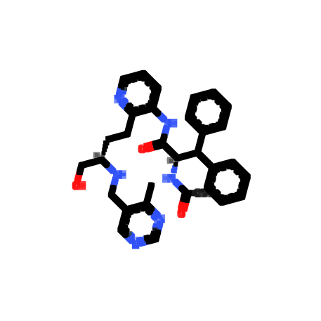 COC(=O)N[C@H](C(=O)Nc1cccnc1CC[C@@H](CO)NCc1cncnc1C)C(c1ccccc1)c1ccccc1